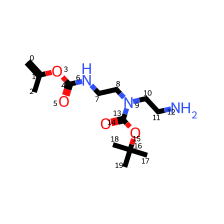 C=C(C)OC(=O)NCCN(CCN)C(=O)OC(C)(C)C